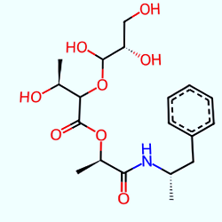 C[C@H](O)C(OC(O)[C@@H](O)CO)C(=O)O[C@H](C)C(=O)N[C@@H](C)Cc1ccccc1